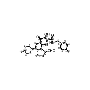 CCCCCN(C=O)c1cc(N2CCN(C)CC2)cn2c(=O)c(O)c(C(=O)NCc3ccc(F)cc3)nc12